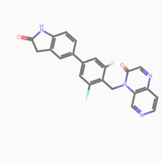 O=C1Cc2cc(-c3cc(F)c(Cn4c(=O)cnc5ccncc54)c(F)c3)ccc2N1